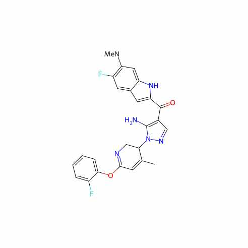 CNc1cc2[nH]c(C(=O)c3cnn(C4CN=C(Oc5ccccc5F)C=C4C)c3N)cc2cc1F